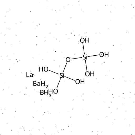 B.O[Si](O)(O)O[Si](O)(O)O.[BaH2].[La]